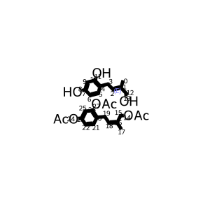 C/C(=C\Cc1ccc(O)cc1O)CO.CC(=O)OCC(C)=CCc1ccc(OC(C)=O)cc1OC(C)=O